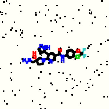 NC[C@]1(O)CCN(c2ncc(C(=O)Nc3ccc(OC(F)(F)Cl)cc3)cc2-c2ccn[nH]2)C1